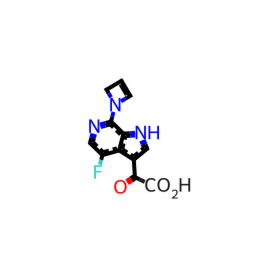 O=C(O)C(=O)c1c[nH]c2c(N3C=CC3)ncc(F)c12